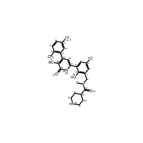 CN(Cc1cc(Cl)cc(-c2cc(-c3cc(C(F)(F)F)ccc3Cl)c(C#N)c(=O)[nH]2)c1O)C(=O)C1CCNCC1